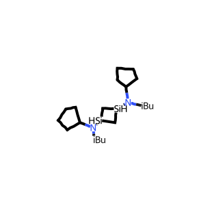 CCC(C)N(C1CCCC1)[SiH]1C[SiH](N(C(C)CC)C2CCCC2)C1